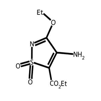 CCOC(=O)C1=C(N)C(OCC)=NS1(=O)=O